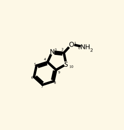 NOc1nc2ccccc2s1